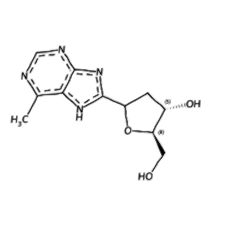 Cc1ncnc2nc(C3C[C@H](O)[C@@H](CO)O3)[nH]c12